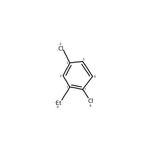 C[CH]c1cc(Cl)ccc1Cl